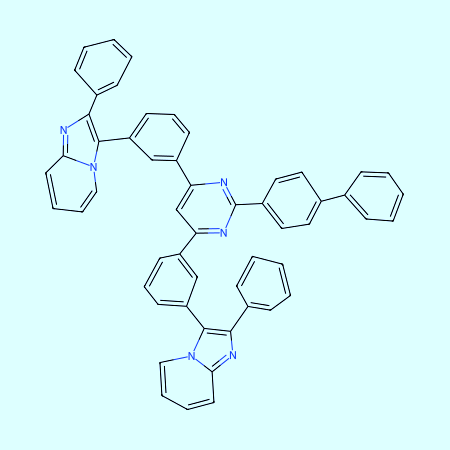 c1ccc(-c2ccc(-c3nc(-c4cccc(-c5c(-c6ccccc6)nc6ccccn56)c4)cc(-c4cccc(-c5c(-c6ccccc6)nc6ccccn56)c4)n3)cc2)cc1